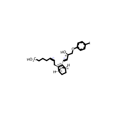 O=C(O)CCC/C=C\C[C@H]1[C@H](/C=C/[C@@H](O)COc2ccc(I)cc2)[C@H]2CC[C@@H]1O2